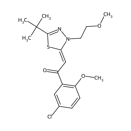 COCCN1N=C(C(C)(C)C)SC1=CC(=O)c1cc(Cl)ccc1OC